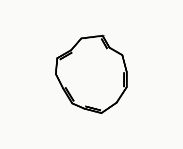 [C]1=C/C/C=C\C/C=C\C=C\C/C=C/C/1